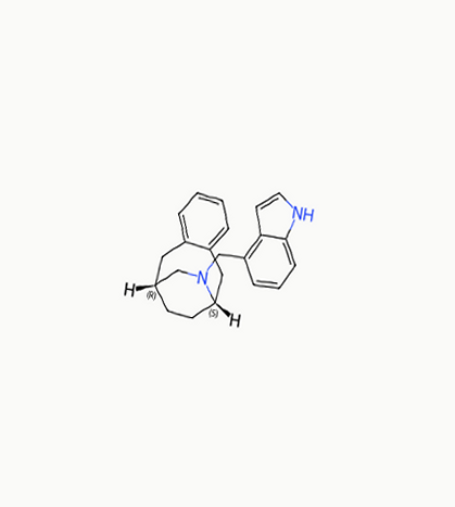 c1ccc2c(c1)C[C@H]1CC[C@@H](C2)N(Cc2cccc3[nH]ccc23)C1